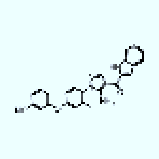 Cc1cc(Oc2cccc(C#N)c2)ccc1-n1ncc(C(=O)c2cc3ccccc3[nH]2)c1N